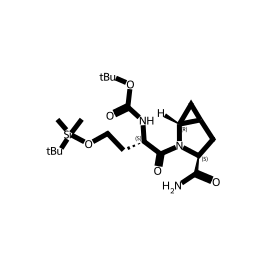 CC(C)(C)OC(=O)N[C@@H](CCO[Si](C)(C)C(C)(C)C)C(=O)N1[C@@H]2CC2C[C@H]1C(N)=O